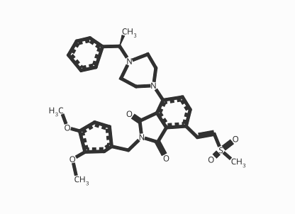 COc1ccc(CN2C(=O)c3c(/C=C/S(C)(=O)=O)ccc(N4CCN([C@H](C)c5ccccc5)CC4)c3C2=O)cc1OC